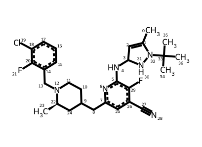 CC1=CC(Nc2nc(CC3CCN(Cc4cccc(Cl)c4F)[C@H](C)C3)cc(C#N)c2F)NN1C(C)(C)C